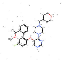 COC(C)c1ccccc1-c1cc(F)ccc1Oc1cncnc1N1CCN(CC2CCOCC2)CC1